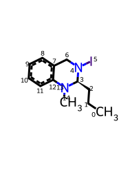 CCC[C@@H]1N(I)Cc2ccccc2N1C